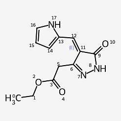 CCOC(=O)CC1=NNC(=O)/C1=C/c1ccc[nH]1